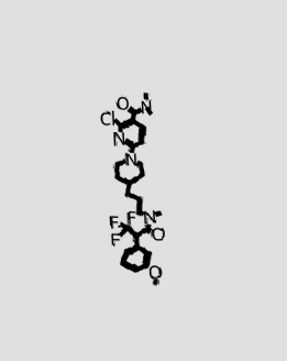 COc1cccc(C(C(=O)N(C)CCCC2CCN(c3ccc(C(=O)N(C)C)c(Cl)n3)CC2)C(F)(F)F)c1